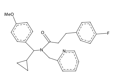 COc1ccc(C(C2CC2)N(Cc2ccccn2)C(=O)CCc2ccc(F)cc2)cc1